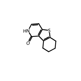 O=c1[nH]ccc2sc3c(c12)CCCC3